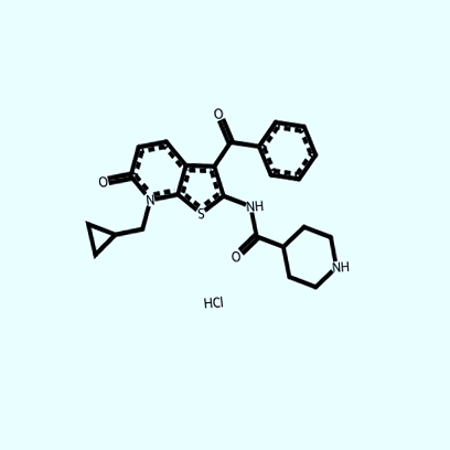 Cl.O=C(c1ccccc1)c1c(NC(=O)C2CCNCC2)sc2c1ccc(=O)n2CC1CC1